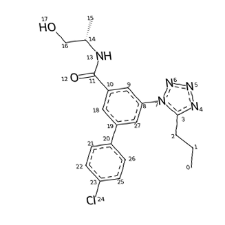 CCCc1nnnn1-c1cc(C(=O)N[C@@H](C)CO)cc(-c2ccc(Cl)cc2)c1